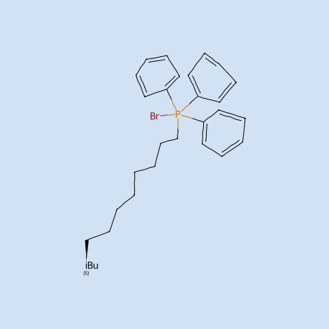 CC[C@H](C)CCCCCCCCP(Br)(c1ccccc1)(c1ccccc1)c1ccccc1